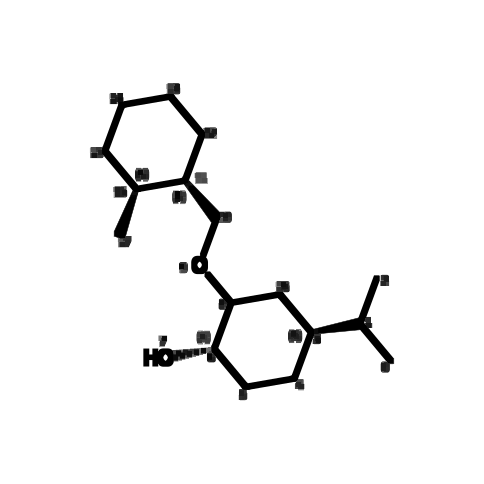 CC(C)[C@H]1CC[C@H](O)C(OC[C@@H]2CCCC[C@@H]2C)C1